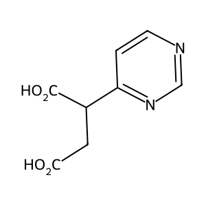 O=C(O)CC(C(=O)O)c1ccncn1